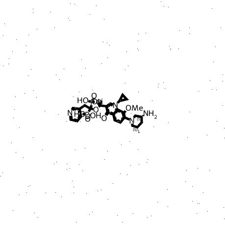 COc1c(N2C[C@@H](C)C[C@H](N)C2)ccc2c(=O)c(C(=O)OC(Cc3cccnc3)(P(=O)(O)O)P(=O)(O)O)cn(C3CC3)c12